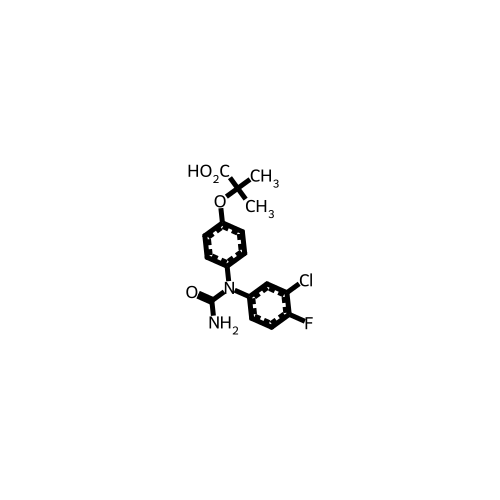 CC(C)(Oc1ccc(N(C(N)=O)c2ccc(F)c(Cl)c2)cc1)C(=O)O